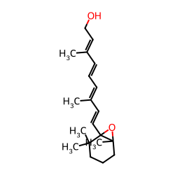 CC(/C=C/C12OC1(C)CCCC2(C)C)=C\C=C\C(C)=C\CO